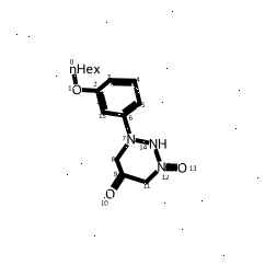 CCCCCCOc1cccc(N2CC(=O)C[N+](=O)N2)c1